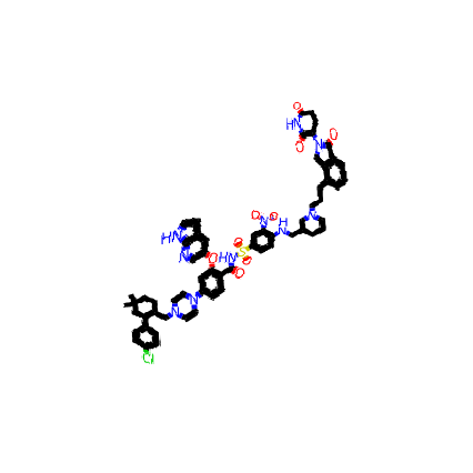 CC1(C)CCC(CN2CCN(c3ccc(C(=O)NS(=O)(=O)c4ccc(NCC5CCCN(CCCc6cccc7c6CN(C6CCC(=O)NC6=O)C7=O)C5)c([N+](=O)[O-])c4)c(Oc4cnc5[nH]ccc5c4)c3)CC2)=C(c2ccc(Cl)cc2)C1